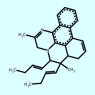 CCC=CC1N2CC(C)=Nc3c2c2c(c4ccccc34)C=CCC2C1(C)C=CCC